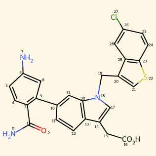 NC(=O)c1ccc(N)cc1-c1ccc2c(CC(=O)O)cn(Cc3csc4ccc(Cl)cc34)c2c1